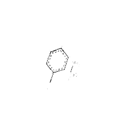 Ic1ccccc1.NC=O